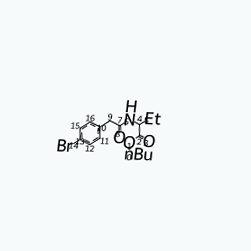 CCCCOC(=O)C(CC)NC(=O)Cc1ccc(Br)cc1